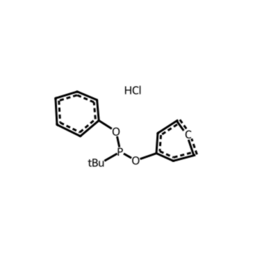 CC(C)(C)P(Oc1ccccc1)Oc1ccccc1.Cl